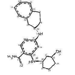 NC(=O)c1cnc(N[C@H]2CCc3ccccc3C2)nc1N[C@@H]1CCCC(O)C1